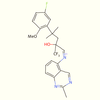 COc1ccc(F)cc1C(C)(C)CC(O)(/C=N\c1cccc2nc(C)ncc12)C(F)(F)F